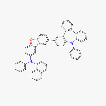 c1ccc(N2c3ccccc3-c3ccccc3-c3cc(-c4ccc5oc6ccc(N(c7ccccc7)c7cccc8ccccc78)cc6c5c4)ccc32)cc1